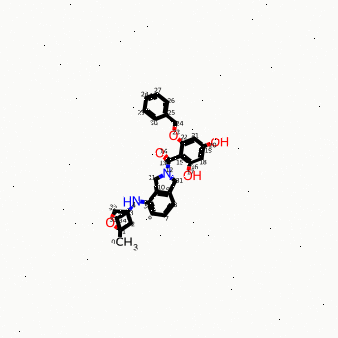 CC12CC(Nc3cccc4c3CN(C(=O)c3c(O)cc(O)cc3OCc3ccccc3)C4)(CO1)C2